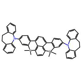 C[Si]1(C)c2cc(N3c4ccccc4CCc4ccccc43)ccc2-c2ccc3c4c(ccc1c24)[Si](C)(C)c1cc(N2c4ccccc4CCc4ccccc42)ccc1-3